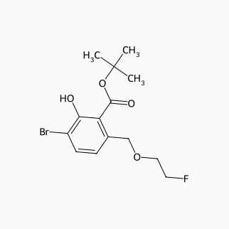 CC(C)(C)OC(=O)c1c(COCCF)ccc(Br)c1O